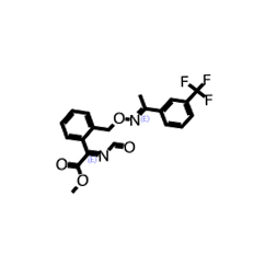 COC(=O)/C(=N/C=O)c1ccccc1CO/N=C(\C)c1cccc(C(F)(F)F)c1